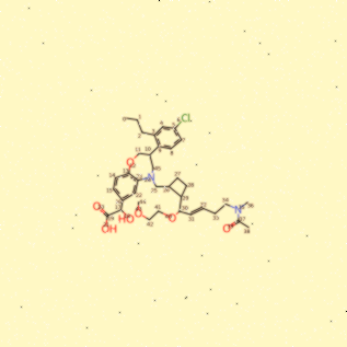 CCCc1cc(Cl)ccc1C1COc2ccc(C(O)C(=O)O)cc2N(CC2CCC2C(/C=C/CCN(C)C(C)=O)OCCOC)C1